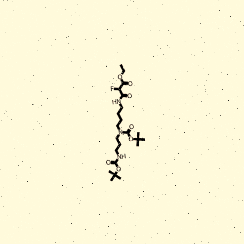 CCOC(=O)C(F)C(=O)NCCCCN(CCCNC(=O)OC(C)(C)C)C(=O)OC(C)(C)C